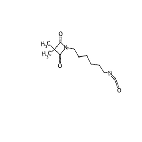 CC1(C)C(=O)N(CCCCCCN=C=O)C1=O